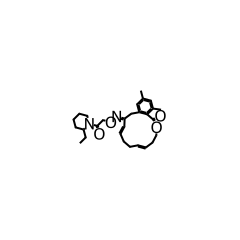 CCC1CCCCN1C(=O)CO/N=C1\C=C\CC/C=C/CCOC(=O)c2c(C)cc(C)cc2C1